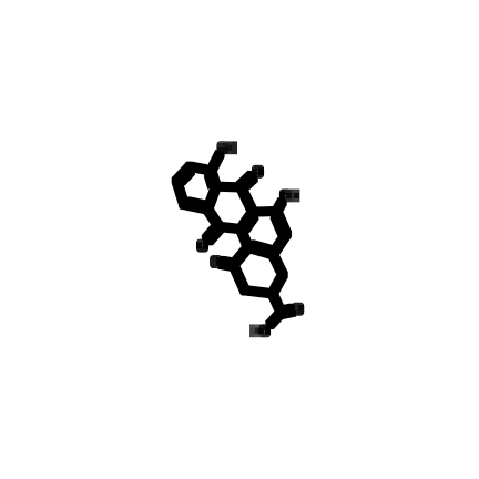 O=C1c2c(O)cccc2C(=O)c2c1c(O)cc1c2C(=O)CC(C(=O)O)C1